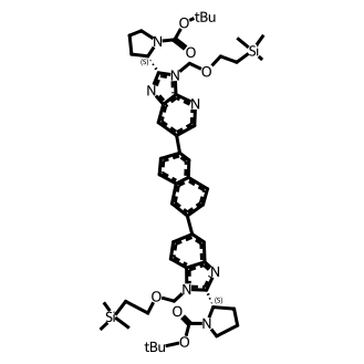 CC(C)(C)OC(=O)N1CCC[C@H]1c1nc2cc(-c3ccc4cc(-c5cnc6c(c5)nc([C@@H]5CCCN5C(=O)OC(C)(C)C)n6COCC[Si](C)(C)C)ccc4c3)ccc2n1COCC[Si](C)(C)C